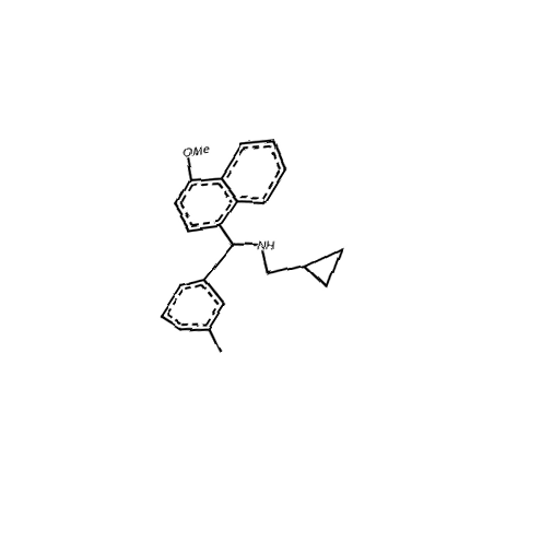 COc1ccc(C(NCC2CC2)c2cccc(C)c2)c2ccccc12